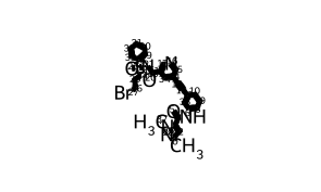 Cc1cc(C(=O)Nc2cccc(C#Cc3cncc(C(=O)N=[S@](=O)(CCCBr)c4ccccc4)c3)c2)n(C)n1